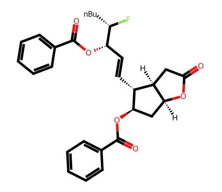 CCCC[C@H](F)[C@H](C=C[C@@H]1[C@H]2CC(=O)O[C@H]2C[C@H]1OC(=O)c1ccccc1)OC(=O)c1ccccc1